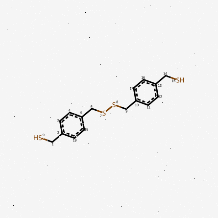 SCc1ccc(CSSCc2ccc(CS)cc2)cc1